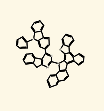 c1ccc(-n2c3ccccc3c3ccc(-c4nc(-n5c6c7ccccc7ccc6c6c7ccccc7c7c8ccccc8sc7c65)nc5c4-c4ccccc4C5)cc32)cc1